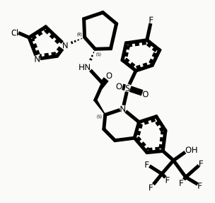 O=C(C[C@@H]1CCc2cc(C(O)(C(F)(F)F)C(F)(F)F)ccc2N1S(=O)(=O)c1ccc(F)cc1)N[C@H]1CCCC[C@H]1n1cnc(Cl)c1